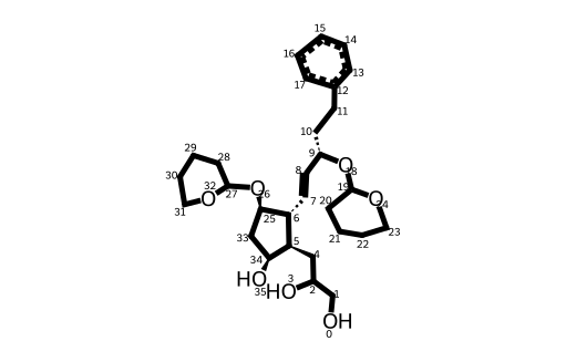 OCC(O)C[C@@H]1[C@@H](/C=C/[C@H](CCc2ccccc2)OC2CCCCO2)[C@H](OC2CCCCO2)C[C@@H]1O